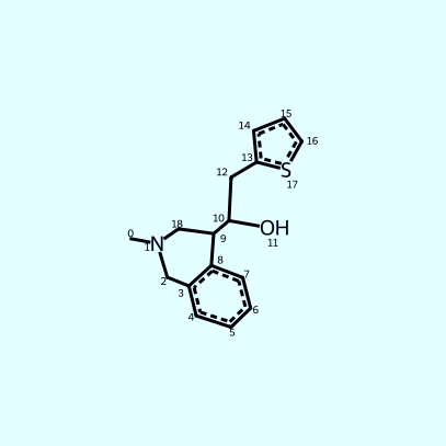 CN1Cc2ccccc2C(C(O)Cc2cccs2)C1